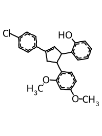 COc1ccc(C2CC(c3ccc(Cl)cc3)=CC2c2ccccc2O)c(OC)c1